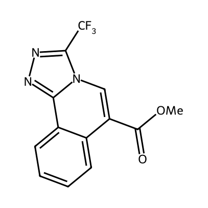 COC(=O)c1cn2c(C(F)(F)F)nnc2c2ccccc12